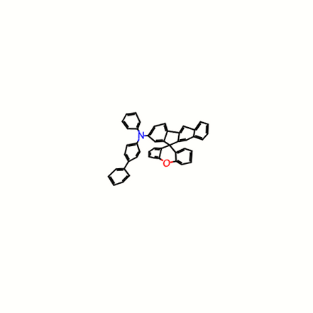 c1ccc(-c2ccc(N(c3ccccc3)c3ccc4c(c3)C3(c5ccccc5Oc5ccccc53)c3cc5ccccc5cc3-4)cc2)cc1